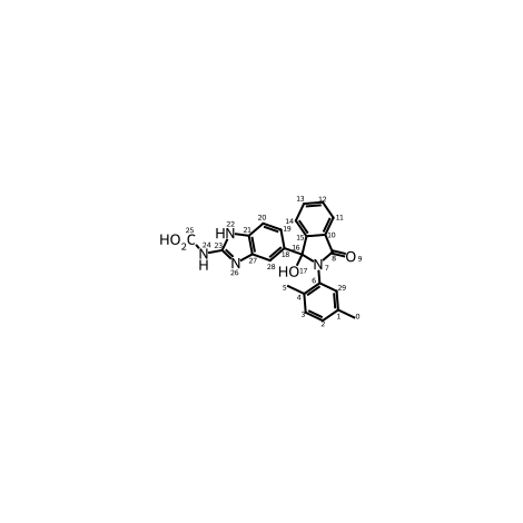 Cc1ccc(C)c(N2C(=O)c3ccccc3C2(O)c2ccc3[nH]c(NC(=O)O)nc3c2)c1